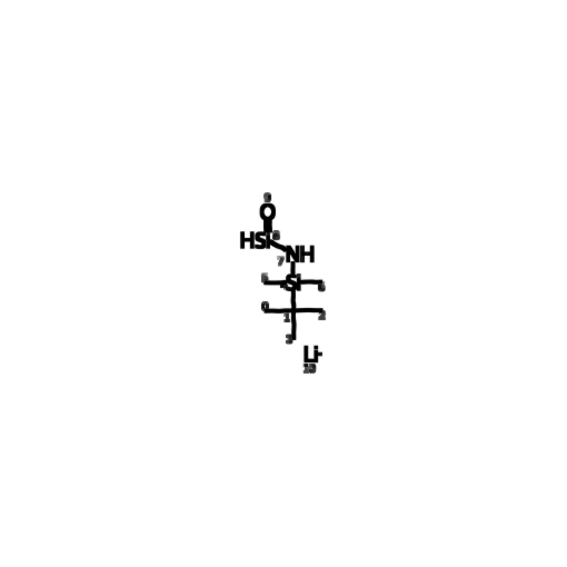 CC(C)(C)[Si](C)(C)N[SiH]=O.[Li]